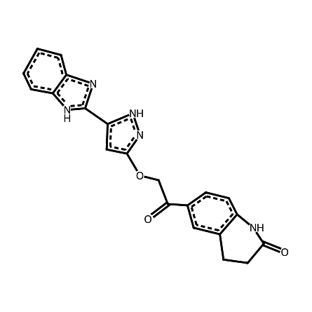 O=C1CCc2cc(C(=O)COc3cc(-c4nc5ccccc5[nH]4)[nH]n3)ccc2N1